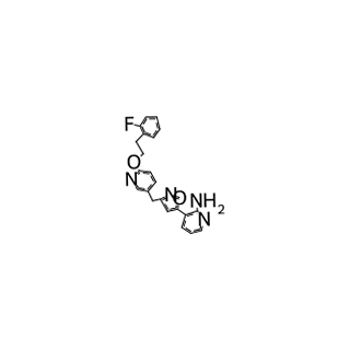 Nc1ncccc1-c1cc(Cc2ccc(OCCc3ccccc3F)nc2)no1